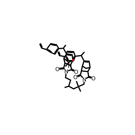 C=Cc1ccc(C(C)C2=CC3CC2C2C(=O)N(CC(C)(C)CC(C)CCN4C(=O)C5C(C4=O)C4C(C(C)c6ccc(C=C)cc6)=CC5[C@H]4C)C(=O)C32)cc1